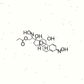 CCC(=O)OC/C(=N\O)[C@@]1(O)[C@@H](C)C[C@H]2[C@@H]3CCC4=C/C(=N/O)C=C[C@]4(C)[C@@]3(Cl)[C@@H](O)C[C@@]21C